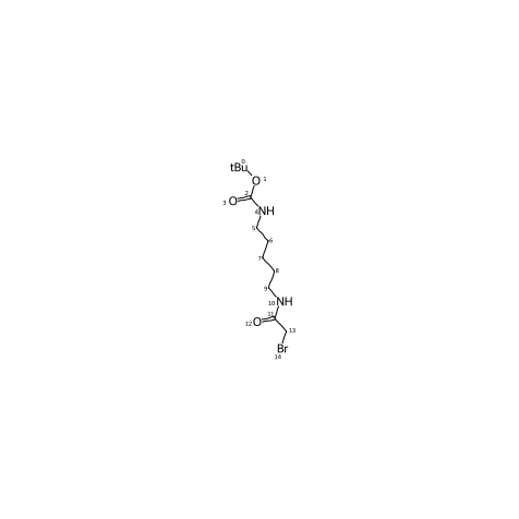 CC(C)(C)OC(=O)NCCCCCNC(=O)CBr